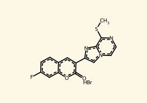 Br.CSc1nccn2cc(-c3cc4ccc(F)cc4oc3=O)nc12